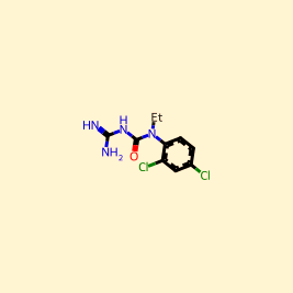 CCN(C(=O)NC(=N)N)c1ccc(Cl)cc1Cl